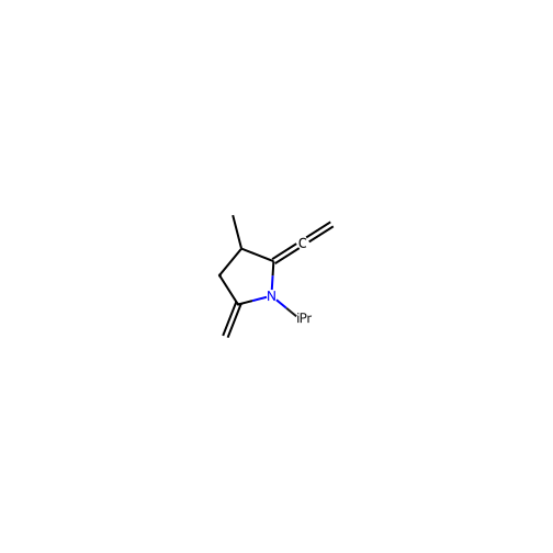 C=C=C1C(C)CC(=C)N1C(C)C